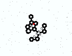 C1#CCC(c2cc(-c3nc(-c4cccc5c4oc4ccccc45)nc(-c4cccc5c4oc4ccccc45)n3)cc(-c3ccccc3)c2-n2c3c(c4cc(-c5ccccc5)ccc42)C=CCC3)=CC=C1